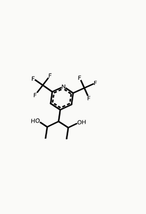 CC(O)C(c1cc(C(F)(F)F)nc(C(F)(F)F)c1)C(C)O